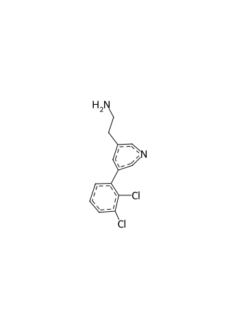 NCCc1cncc(-c2cccc(Cl)c2Cl)c1